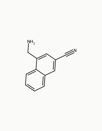 N#Cc1cc(CN)c2ccccc2c1